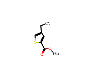 CC(C)(C)OC(=O)c1cc(CC#N)cs1